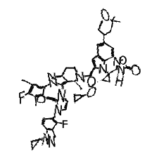 Cc1cc(-n2nc3c(c2N2C=CN(c4ccc5c(cnn5C5CC5)c4F)C2=C=O)[C@H](C)N(C(=O)c2cc4cc([C@H]5CCOC(C)(C)C5)ccc4n2[C@@]2(c4noc(=O)[nH]4)C[C@@H]2COC2CC2)CC3)cc(C)c1F